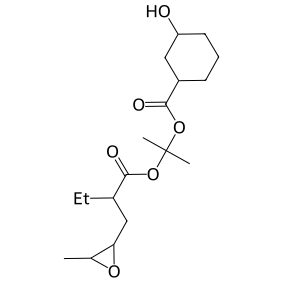 CCC(CC1OC1C)C(=O)OC(C)(C)OC(=O)C1CCCC(O)C1